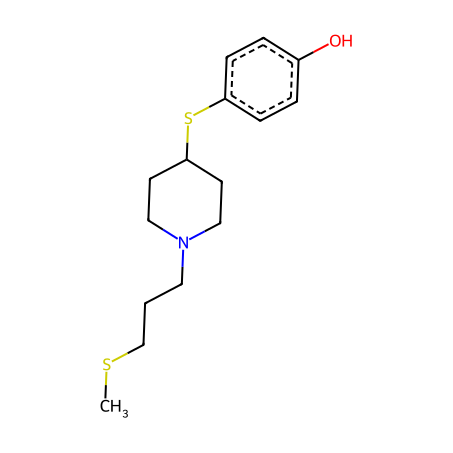 CSCCCN1CCC(Sc2ccc(O)cc2)CC1